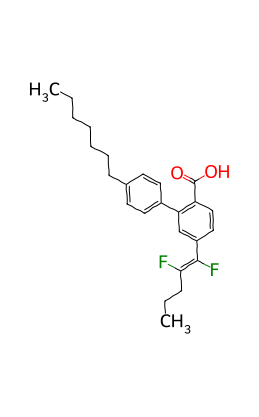 CCCCCCCc1ccc(-c2cc(C(F)=C(F)CCC)ccc2C(=O)O)cc1